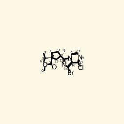 COC(=O)[C@]1(C(C)C)CC[C@@](C)(c2nc(Br)c3c(Cl)nccn23)C1